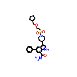 NC(=O)c1cc(-c2ccccc2)cc2c(C3CCN(S(=O)(=O)CCOCC4CCCC4)CC3)c[nH]c12